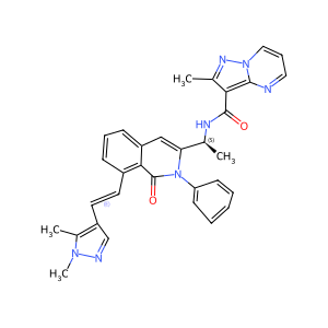 Cc1nn2cccnc2c1C(=O)N[C@@H](C)c1cc2cccc(/C=C/c3cnn(C)c3C)c2c(=O)n1-c1ccccc1